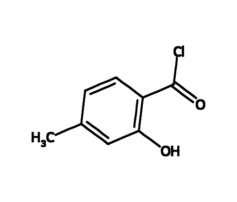 Cc1ccc(C(=O)Cl)c(O)c1